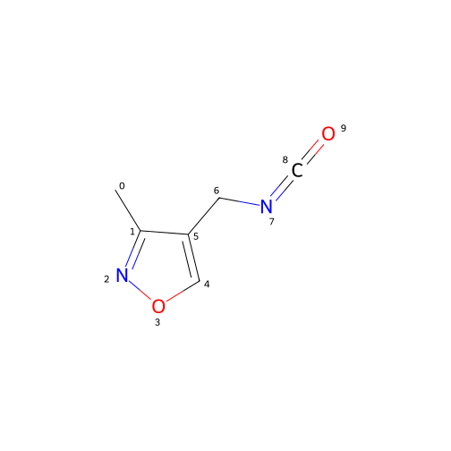 Cc1nocc1CN=C=O